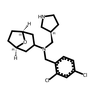 Clc1ccc(CN(C[C@@H]2CCNC2)C2C[C@H]3CC[C@@H](C2)O3)c(Cl)c1